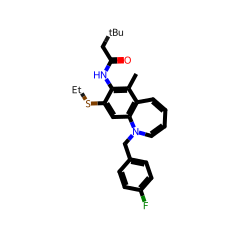 CCSc1cc2c(c(C)c1NC(=O)CC(C)(C)C)C=CC=CN2Cc1ccc(F)cc1